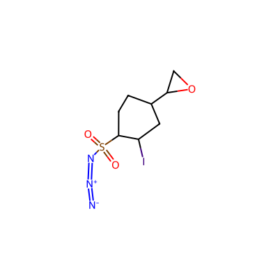 [N-]=[N+]=NS(=O)(=O)C1CCC(C2CO2)CC1I